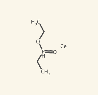 CCO[PH](=O)CC.[Ce]